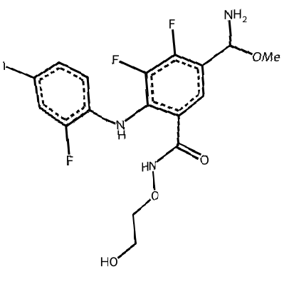 COC(N)c1cc(C(=O)NOCCO)c(Nc2ccc(I)cc2F)c(F)c1F